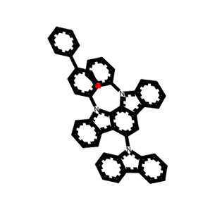 c1ccc(-c2ccc(-n3c4ccccc4c4c(-n5c6ccccc6c6ccccc65)cc5c6ccccc6n(-c6ccccc6)c5c43)cc2)cc1